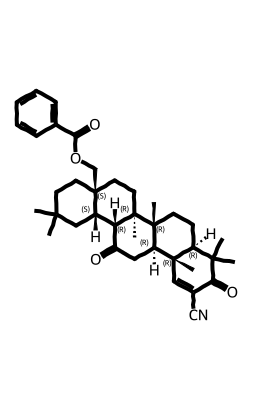 CC1(C)CC[C@]2(COC(=O)c3ccccc3)CC[C@]3(C)[C@H](C(=O)C[C@@H]4[C@@]5(C)C=C(C#N)C(=O)C(C)(C)[C@@H]5CC[C@]43C)[C@@H]2C1